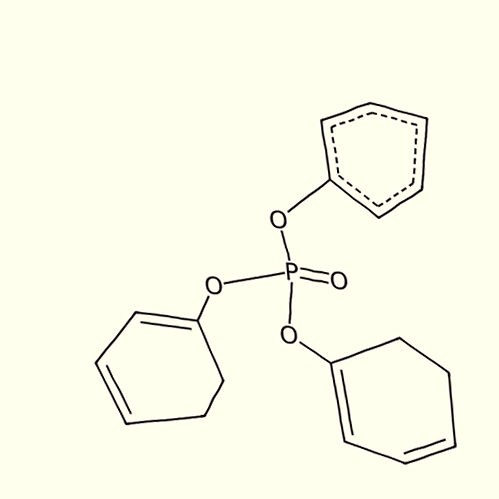 O=P(OC1=CC=CCC1)(OC1=CC=CCC1)Oc1ccccc1